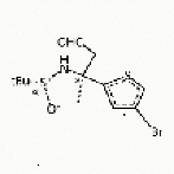 CC(C)(C)[S@@+]([O-])N[C@@](C)(CC=O)c1cc(Br)cs1